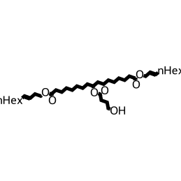 CCCCCC/C=C/CCOC(=O)CCCCCCCC(CCCCCCCC(=O)OC/C=C/CCCCCC)OC(=O)CCCO